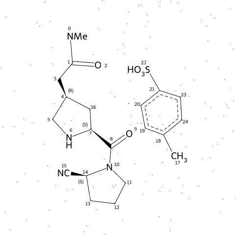 CNC(=O)C[C@@H]1CN[C@H](C(=O)N2CCC[C@H]2C#N)C1.Cc1ccc(S(=O)(=O)O)cc1